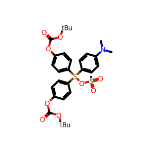 CN(C)c1ccc(S(OS(C)(=O)=O)(c2ccc(OC(=O)OC(C)(C)C)cc2)c2ccc(OC(=O)OC(C)(C)C)cc2)cc1